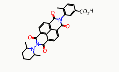 Cc1ccc(C(=O)O)cc1N1C(=O)c2ccc3c4c(ccc(c24)C1=O)C(=O)N(N1C(C)CCCC1C)C3=O